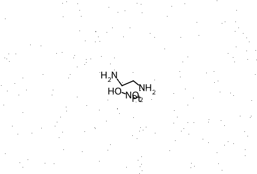 NCCN.O=[N+]([O-])O.[Pt]